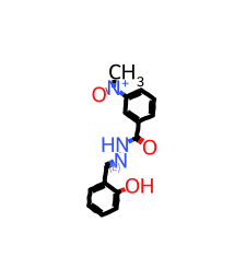 C[N+](=O)c1cccc(C(=O)N/N=C/c2ccccc2O)c1